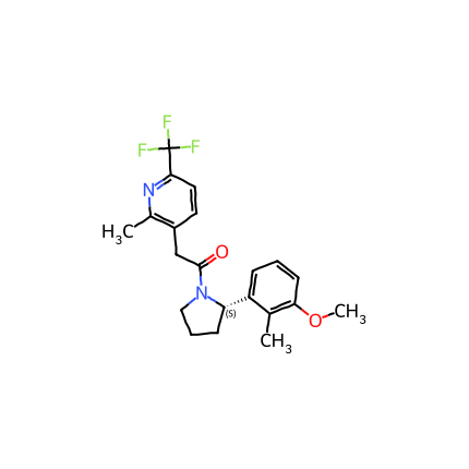 COc1cccc([C@@H]2CCCN2C(=O)Cc2ccc(C(F)(F)F)nc2C)c1C